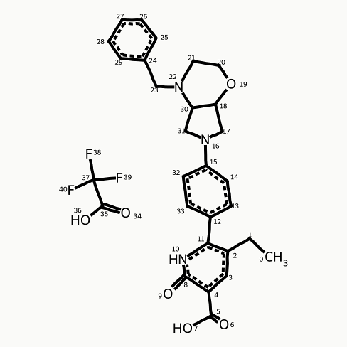 CCc1cc(C(=O)O)c(=O)[nH]c1-c1ccc(N2CC3OCCN(Cc4ccccc4)C3C2)cc1.O=C(O)C(F)(F)F